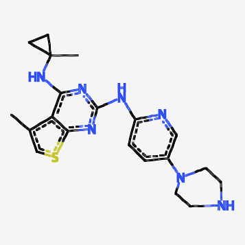 Cc1csc2nc(Nc3ccc(N4CCNCC4)cn3)nc(NC3(C)CC3)c12